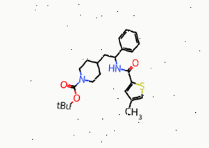 Cc1csc(C(=O)NC(CC2CCN(C(=O)OC(C)(C)C)CC2)c2ccccc2)c1